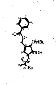 CC(C)(C)OC1C(COC(=O)c2ccccc2)=CC(O[Si](C)(C)C(C)(C)C)C1O